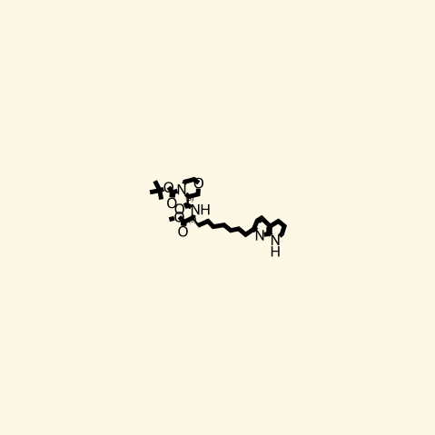 COC(=O)[C@H](CCCCCCCc1ccc2c(n1)NCCC2)NC(=O)[C@@H]1COCCN1C(=O)OC(C)(C)C